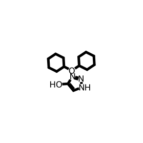 C1CCC(OC2CCCCC2)CC1.Oc1c[nH]nn1